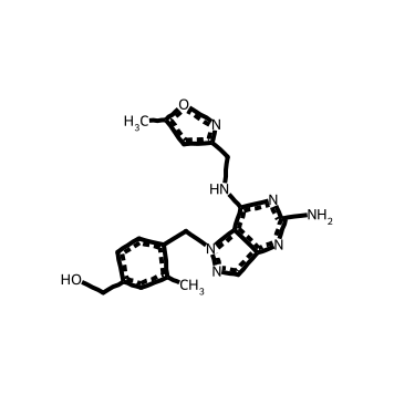 Cc1cc(CNc2nc(N)nc3cnn(Cc4ccc(CO)cc4C)c23)no1